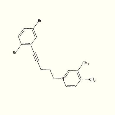 Cc1cc[n+](CCCC#Cc2cc(Br)ccc2Br)cc1C